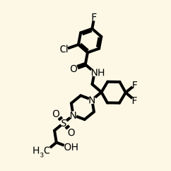 CC(O)CS(=O)(=O)N1CCN(C2(CNC(=O)c3ccc(F)cc3Cl)CCC(F)(F)CC2)CC1